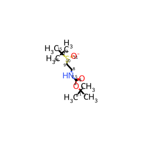 CC(C)(C)OC(=O)NCC[S+]([O-])C(C)(C)C